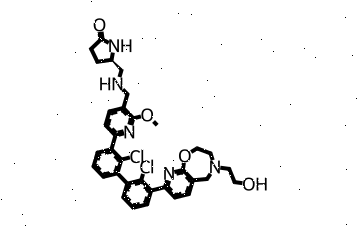 COc1nc(-c2cccc(-c3cccc(-c4ccc5c(n4)OCCN(CCO)C5)c3Cl)c2Cl)ccc1CNC[C@H]1CCC(=O)N1